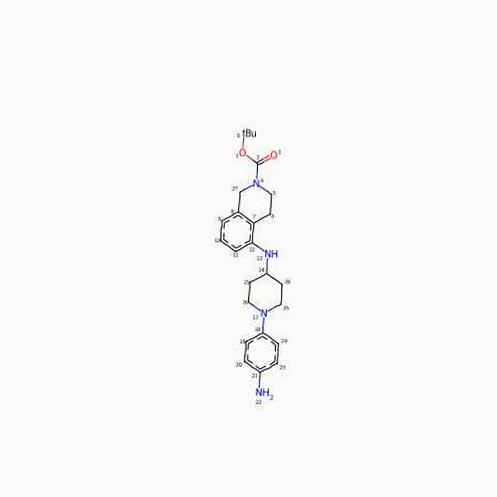 CC(C)(C)OC(=O)N1CCc2c(cccc2NC2CCN(c3ccc(N)cc3)CC2)C1